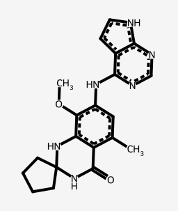 COc1c(Nc2ncnc3[nH]ccc23)cc(C)c2c1NC1(CCCC1)NC2=O